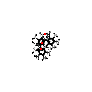 CN(C)c1c(N(C)C)c(N(C)C)c([Si](Cl)(c2c(N(C)C)c(N(C)C)c(N(C)C)c(N(C)C)c2N(C)C)c2c(N(C)C)c(N(C)C)c(N(C)C)c(N(C)C)c2N(C)C)c(N(C)C)c1N(C)C